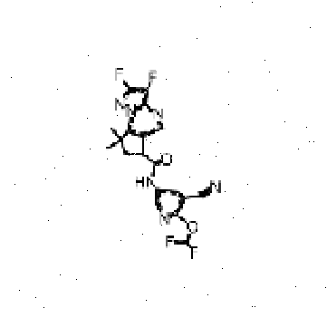 CC1(C)CC(C(=O)Nc2cnc(OC(F)F)c(C#N)c2)c2cnc3c(F)c(F)nn3c21